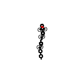 CC1CCC(C2CCC(C(=O)Oc3ccc(/C=C/C(=O)Oc4ccc(N5C(=O)C6C7C=CC(CC7)C6C5=O)cc4)cc3)CC2)CC1